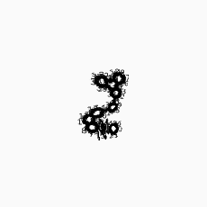 c1ccc(-n2nc3ccc4ccc5ccc(-c6cccc(-c7ccc8c9ccccc9c9ccccc9c8c7)c6)cc5c4c3n2)cc1